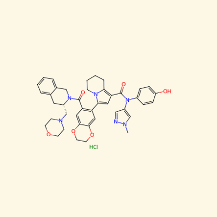 Cl.Cn1cc(N(C(=O)c2cc(-c3cc4c(cc3C(=O)N3Cc5ccccc5C[C@H]3CN3CCOCC3)OCCO4)n3c2CCCC3)c2ccc(O)cc2)cn1